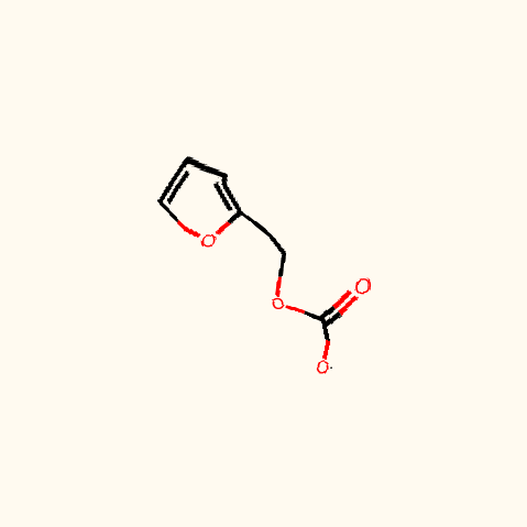 [O]C(=O)OCc1ccco1